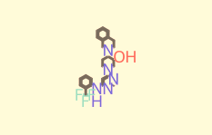 OC1CN(c2cc(Nc3ccccc3C(F)(F)F)ncn2)CCC1N1CCc2ccccc2C1